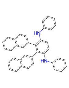 c1ccc(Nc2ccc(Nc3ccccc3)c(-c3ccc4ccccc4c3)c2-c2ccc3ccccc3c2)cc1